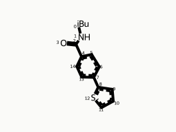 CCC(C)NC(=O)c1ccc(-c2cccs2)cc1